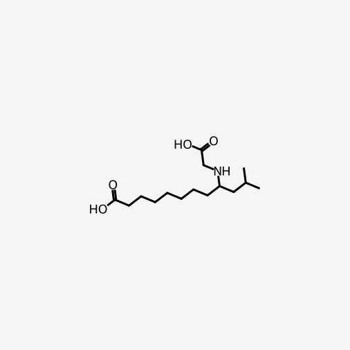 CC(C)CC(CCCCCCCC(=O)O)NCC(=O)O